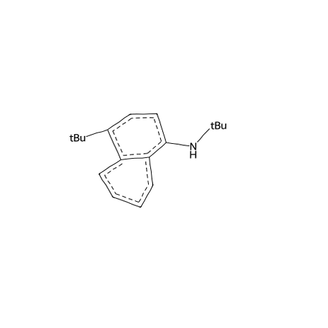 CC(C)(C)Nc1ccc(C(C)(C)C)c2ccccc12